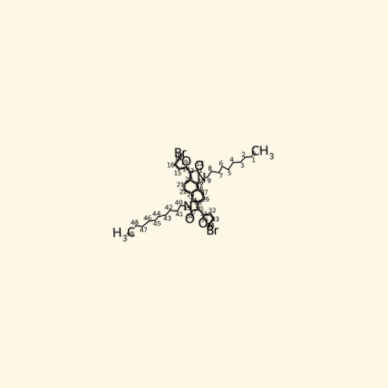 CCCCCCCCCCN1C(=O)C(c2ccc(Br)o2)=c2ccc3c4c(ccc3c21)=C(c1ccc(Br)o1)C(=O)N4CCCCCCCCCC